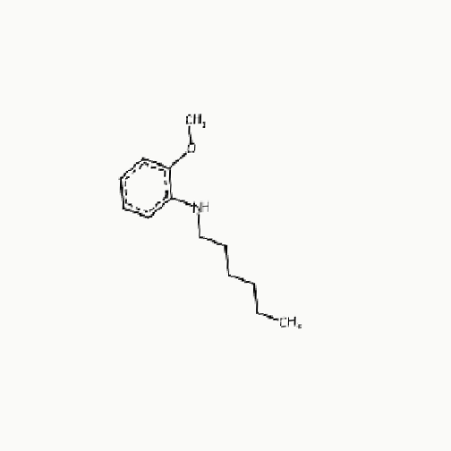 CCCCCCNc1ccccc1OC